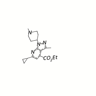 CCOC(=O)c1cc(C2CC2)nc2c1c(C)nn2C1CCN(C)CC1